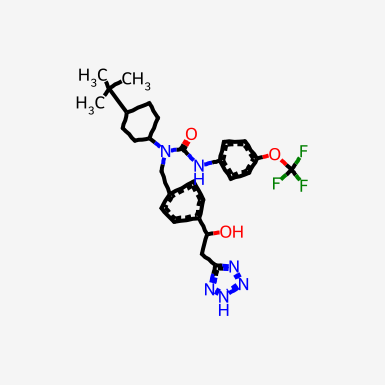 CC(C)(C)C1CCC(N(Cc2ccc(C(O)Cc3nn[nH]n3)cc2)C(=O)Nc2ccc(OC(F)(F)F)cc2)CC1